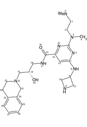 CNCCN(C)c1nc(NC2CNC2)cc(C(=O)NC[C@H](O)CN2CCc3ccccc3C2)n1